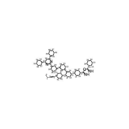 CCC#Cc1ccc(-c2ccc(-c3ccc(C(=N)OC(=N)c4ccccc4)cc3)cc2-c2cccc(-c3cccc(-c4nc(-c5ccccc5)cc(-c5ccccc5)n4)c3)c2)cc1